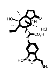 C=C[C@]1(C)C[C@@H](C(Oc2ccc3c(c2)B(O)OC3CN)C(=O)O)[C@@]2(C)[C@H](C)CC[C@]3(CCC(=O)[C@H]32)[C@@H](C)[C@@H]1O.Cl